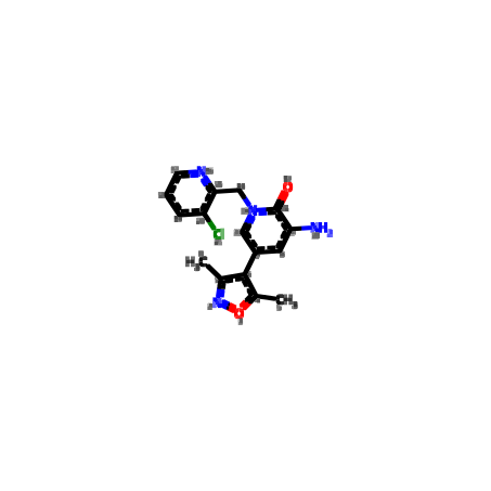 Cc1noc(C)c1-c1cc(N)c(=O)n(Cc2ncccc2Cl)c1